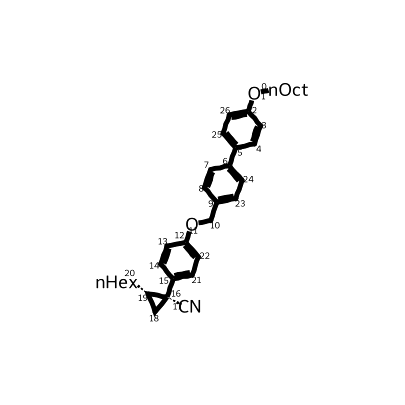 CCCCCCCCOc1ccc(-c2ccc(COc3ccc([C@@]4(C#N)C[C@@H]4CCCCCC)cc3)cc2)cc1